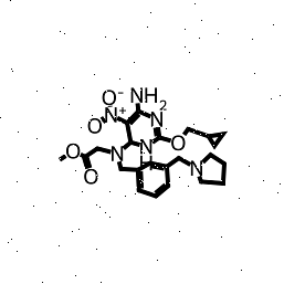 COC(=O)CN(Cc1cccc(CN2CCCC2)c1)C1NC(OCC2CC2)=NC(N)=C1[N+](=O)[O-]